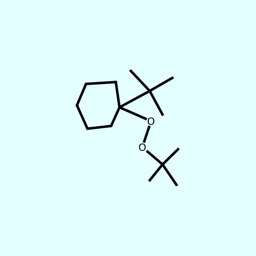 CC(C)(C)OOC1(C(C)(C)C)CCCCC1